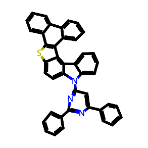 c1ccc(-c2cc(-n3c4ccccc4c4c5c(ccc43)sc3c4ccccc4c4ccccc4c35)nc(-c3ccccc3)n2)cc1